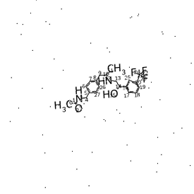 CC(=O)NCc1ccc(CC(C)NCC(O)c2cccc(C(F)(F)F)c2)cc1